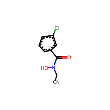 N#CCN(O)C(=O)c1cccc(Cl)c1